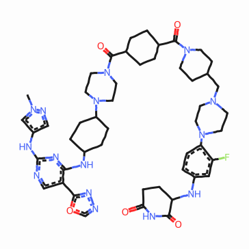 Cn1cc(Nc2ncc(-c3nnco3)c(NC3CCC(N4CCN(C(=O)C5CCC(C(=O)N6CCC(CN7CCN(c8ccc(NC9CCC(=O)NC9=O)cc8F)CC7)CC6)CC5)CC4)CC3)n2)cn1